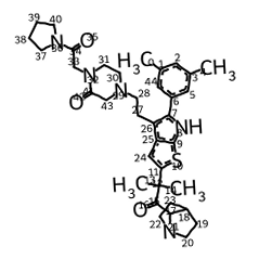 Cc1cc(C)cc(-c2[nH]c3sc(C(C)(C)C(=O)C4C5CCN4CC5)cc3c2CCN2CCN(CC(=O)N3CCCC3)C(=O)C2)c1